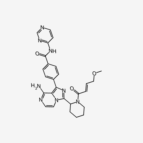 COCC=CC(=O)N1CCCCC1c1nc(-c2ccc(C(=O)Nc3ccncn3)cc2)c2c(N)nccn12